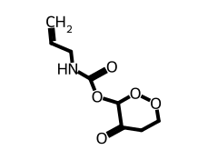 C=CCNC(=O)OC1OOCCC1=O